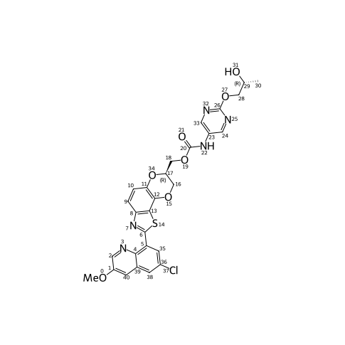 COc1cnc2c(-c3nc4ccc5c(c4s3)OC[C@H](COC(=O)Nc3cnc(OC[C@@H](C)O)nc3)O5)cc(Cl)cc2c1